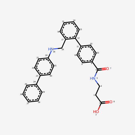 O=C(O)CCNC(=O)c1ccc(-c2ccccc2CNc2ccc(-c3ccccc3)cc2)cc1